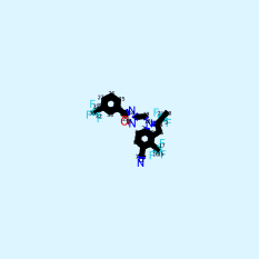 CC(F)(F)C1Cc2c(ccc(C#N)c2C(F)(F)F)N1Cc1noc(-c2cccc(C(F)(F)F)c2)n1